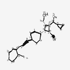 N#C[C@H]1[C@H](C2CCC(C#CC3CCCCC3F)CC2)[C@H](CO)N1C(O)C1CC1